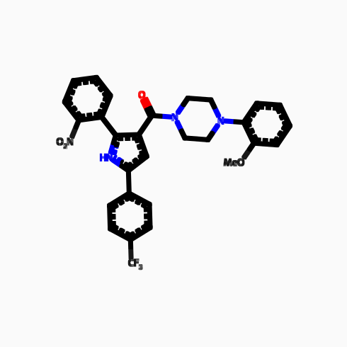 COc1ccccc1N1CCN(C(=O)c2cc(-c3ccc(C(F)(F)F)cc3)[nH]c2-c2ccccc2[N+](=O)[O-])CC1